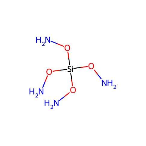 NO[Si](ON)(ON)ON